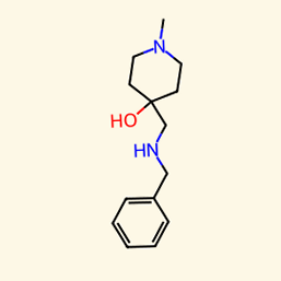 CN1CCC(O)(CNCc2ccccc2)CC1